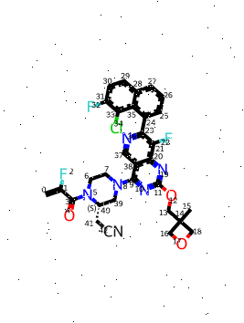 C=C(F)C(=O)N1CCN(c2nc(OCC3(C)COC3)nc3c(F)c(-c4cccc5ccc(F)c(Cl)c45)ncc23)C[C@@H]1CC#N